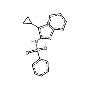 O=S(=O)(Nc1nc2ccccn2c1C1CC1)c1ccccc1